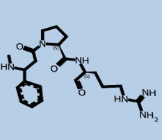 CNC(CC(=O)N1CCC[C@H]1C(=O)N[C@H](C=O)CCCNC(=N)N)c1ccccc1